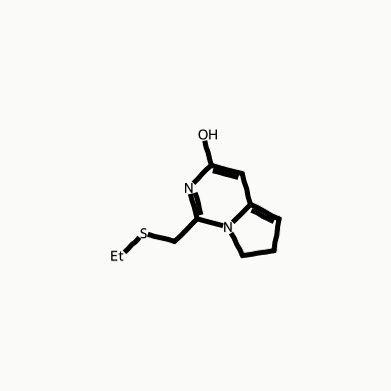 CCSCC1=NC(O)=CC2=CCCN21